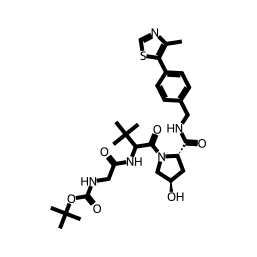 Cc1ncsc1-c1ccc(CNC(=O)[C@@H]2C[C@@H](O)CN2C(=O)C(NC(=O)CNC(=O)OC(C)(C)C)C(C)(C)C)cc1